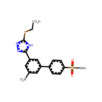 CNS(=O)(=O)c1ccc(-c2cc(-c3nnc(SCC(=O)O)[nH]3)cc([N+](=O)[O-])c2)cc1